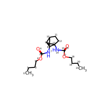 CCCCOC(=O)NC1=CC2CCC1(NC(=O)OCCCC)C2